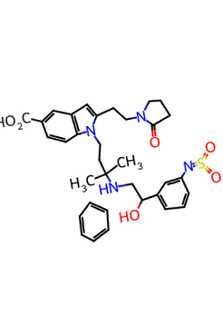 CC(C)(CCn1c(CCN2CCCC2=O)cc2cc(C(=O)O)ccc21)NCC(O)c1cccc(N=S(=O)=O)c1.c1ccccc1